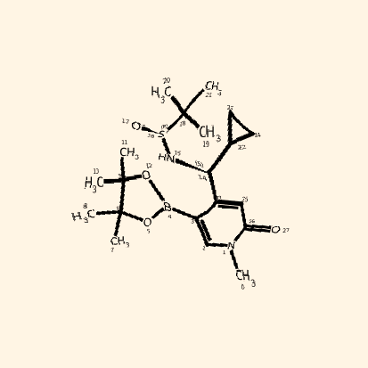 Cn1cc(B2OC(C)(C)C(C)(C)O2)c([C@@H](N[S@@+]([O-])C(C)(C)C)C2CC2)cc1=O